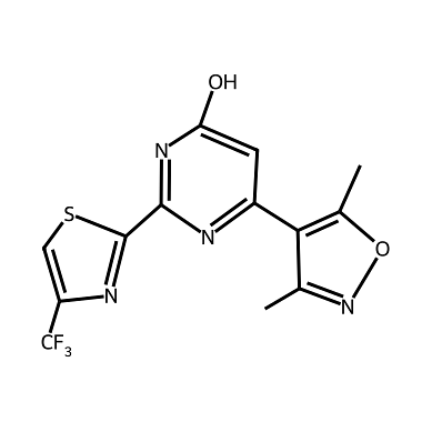 Cc1noc(C)c1-c1cc(O)nc(-c2nc(C(F)(F)F)cs2)n1